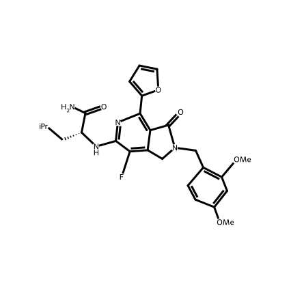 COc1ccc(CN2Cc3c(F)c(N[C@H](CC(C)C)C(N)=O)nc(-c4ccco4)c3C2=O)c(OC)c1